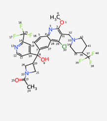 COc1nc2ccc(C(O)(c3ccnc(C(F)(F)F)c3)C3CN(C(C)=O)C3)cc2c(Cl)c1CN1CCC(C(F)(F)F)CC1